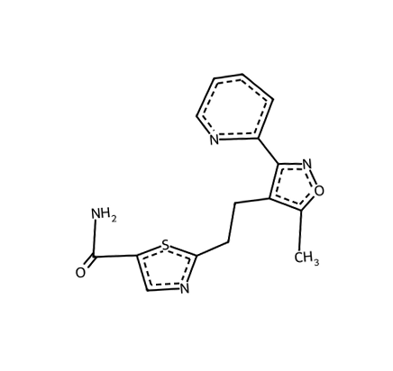 Cc1onc(-c2ccccn2)c1CCc1ncc(C(N)=O)s1